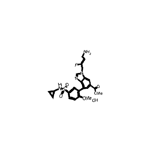 COC(=O)c1cc(-c2cc(S(=O)(=O)NC3CC3)ccc2OC)c2ncn(C/C(F)=C/CN)c2c1.Cl